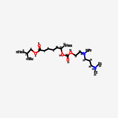 CCCCCCC(CCCC)COC(=O)CCCCC(CCCCCC)OC(=O)OCCN(CCCN(CC)CC)C(C)C